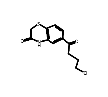 O=C1CSc2ccc(C(=O)CCCCl)cc2N1